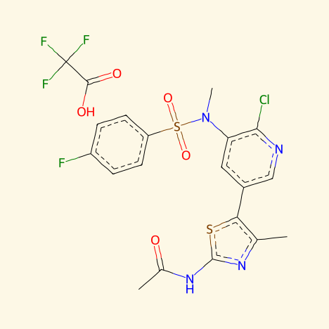 CC(=O)Nc1nc(C)c(-c2cnc(Cl)c(N(C)S(=O)(=O)c3ccc(F)cc3)c2)s1.O=C(O)C(F)(F)F